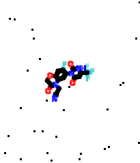 N#CCN1C(=O)COc2cc(F)c(-n3c(=O)cc(C(F)(F)F)[nH]c3=O)cc21